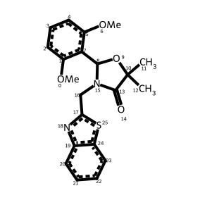 COc1cccc(OC)c1C1OC(C)(C)C(=O)N1Cc1nc2ccccc2s1